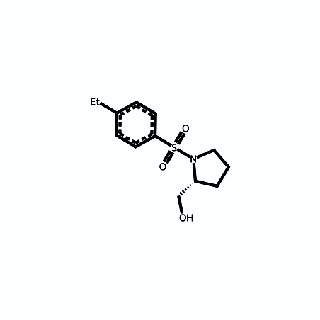 CCc1ccc(S(=O)(=O)N2CCC[C@@H]2CO)cc1